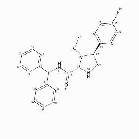 CO[C@H]1[C@@H](C(=O)NC(c2ccccc2)c2ccccc2)NC[C@@H]1c1ccc(F)cc1